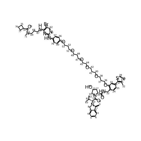 C=C1c2ccccc2CN1[C@H](C(=O)N1C[C@H](O)C[C@H]1C(=O)NCc1ccc(-c2scnc2C)cc1OCCCOCCCOCCOCCCOCCCOc1ccc(Nc2ncc(Br)c(NCCCN(C)C(=O)C3CCC3)n2)cc1)C(C)C